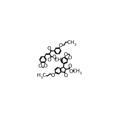 CCCOc1ccc2c(c1)C(=O)C(C(=O)OC)C2c1ccc2c(c1)OCO2.CCCOc1cccc(C(=O)C(=Cc2ccc3c(c2)OCO3)C(=O)OC)c1